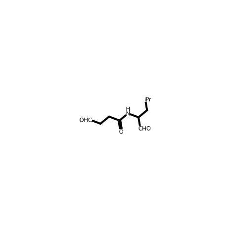 CC(C)CC(C=O)NC(=O)CCC=O